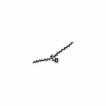 CCCCCCCCCCCCCCCCCN1C=CN(CCCCCCCCCCCCC)C1Cc1ccccc1